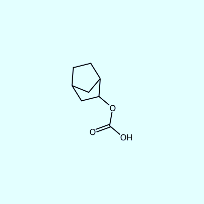 O=C(O)OC1CC2CCC1C2